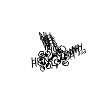 N.N.N.N.N.N.N.N.O=P(O)(O)N(CCN(P(=O)(O)O)P(=O)(O)O)P(=O)(O)O